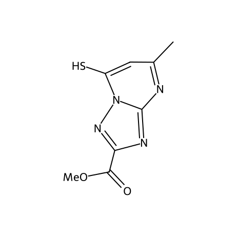 COC(=O)c1nc2nc(C)cc(S)n2n1